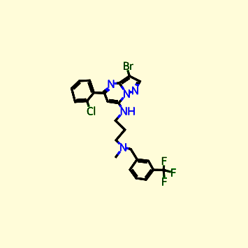 CN(CCCNc1cc(-c2ccccc2Cl)nc2c(Br)cnn12)Cc1cccc(C(F)(F)F)c1